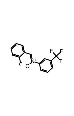 [O-][N+](=Cc1ccccc1Cl)c1cccc(C(F)(F)F)c1